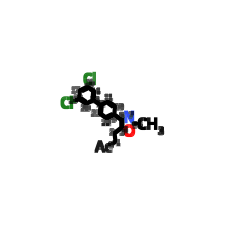 CC(=O)CCc1oc(C)nc1-c1ccc(-c2cc(Cl)cc(Cl)c2)cc1